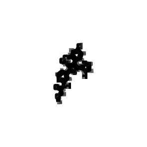 [C-]#[N+]c1c(-c2ccnc(NC(=O)COC)c2)sc(-c2nnc[nH]2)c1-c1ccc(Cl)cc1Cl